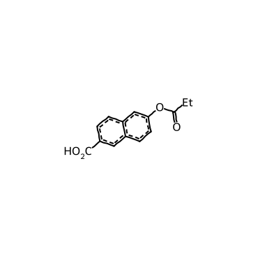 CCC(=O)Oc1ccc2cc(C(=O)O)ccc2c1